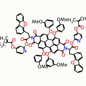 C=C(C)C(=O)Oc1ccnc(OC(=O)C(Cc2cccc3c2oc2ccccc23)N2C(=O)c3cc(Oc4cccc(OC)c4)c4c5c(Oc6cccc(OC)c6)cc6c7c(cc(Oc8cccc(OC)c8)c(c8c(Oc9cccc(OC)c9)cc(c3c48)C2=O)c75)C(=O)N(C(Cc2cccc3c2oc2ccccc23)C(=O)Oc2cc(OC(=O)C(=C)C)ccn2)C6=O)c1